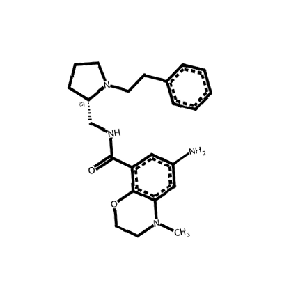 CN1CCOc2c(C(=O)NC[C@@H]3CCCN3CCc3ccccc3)cc(N)cc21